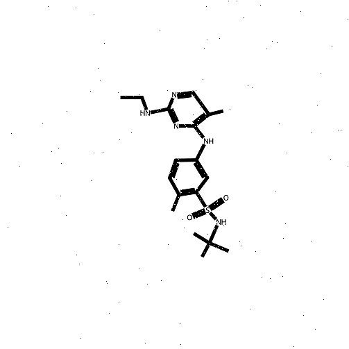 CCNc1ncc(C)c(Nc2ccc(C)c(S(=O)(=O)NC(C)(C)C)c2)n1